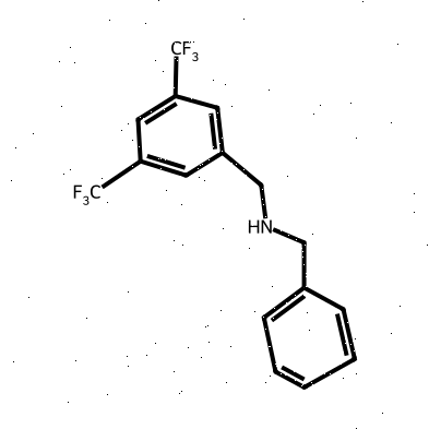 FC(F)(F)c1cc(CNCc2ccccc2)cc(C(F)(F)F)c1